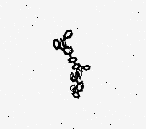 c1ccc(-n2c3ccccc3c3cc(-c4ccc(-c5ccc6c(c5)c5ccccc5n6-c5nccc(-c6cccc7c6oc6ccccc67)n5)cc4)ccc32)cc1